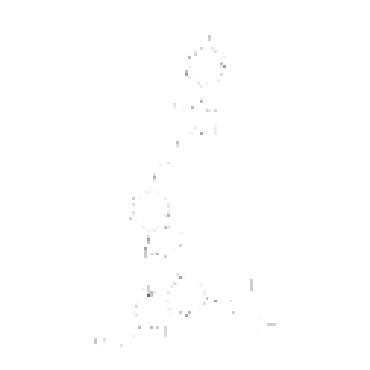 COc1cnc2c(-c3nc4c(C)cc(OCCNS(=O)(=O)c5ccc(F)cc5)cc4s3)cc(C(O)CO)cc2n1